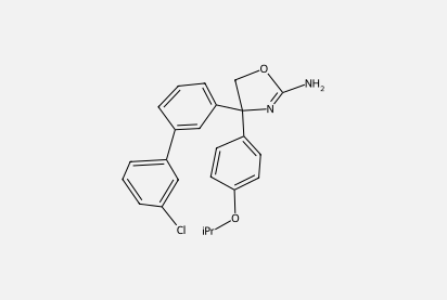 CC(C)Oc1ccc(C2(c3cccc(-c4cccc(Cl)c4)c3)COC(N)=N2)cc1